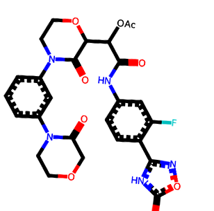 CC(=O)OC(C(=O)Nc1ccc(-c2noc(=O)[nH]2)c(F)c1)C1OCCN(c2cccc(N3CCOCC3=O)c2)C1=O